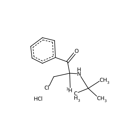 Cl.[3H]C(CCl)(NC(C)(C)C)C(=O)c1ccccc1